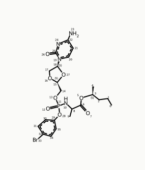 CCC[C@H](C)OC(=O)C(C)NP(=O)(OC[C@H]1OC[C@@H](n2ccc(N)nc2=O)O1)Oc1ccc(Br)cc1